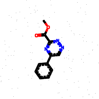 COC(=O)c1nncc(-c2ccccc2)n1